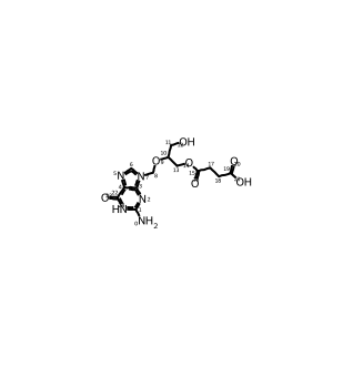 Nc1nc2c(ncn2COC(CO)COC(=O)CCC(=O)O)c(=O)[nH]1